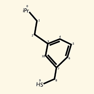 CC(C)CCc1cccc(CS)c1